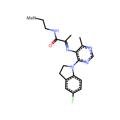 CNCCNC(=O)/C(C)=N/c1c(C)ncnc1N1CCc2cc(F)ccc21